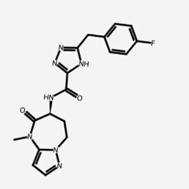 CN1C(=O)[C@@H](NC(=O)c2nnc(Cc3ccc(F)cc3)[nH]2)CCn2nccc21